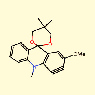 COc1c#cc2c(c1)C1(OCC(C)(C)CO1)c1ccccc1N2C